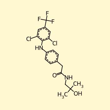 CC(C)(O)CNC(=O)Cc1ccc(Nc2c(Cl)cc(C(F)(F)F)cc2Cl)cc1